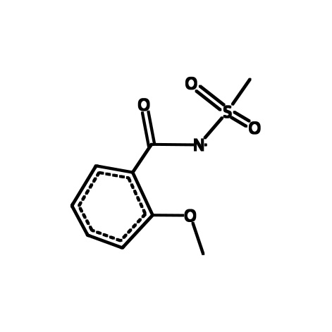 COc1ccccc1C(=O)[N]S(C)(=O)=O